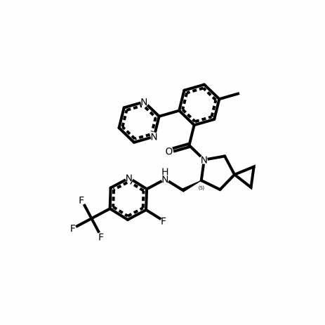 Cc1ccc(-c2ncccn2)c(C(=O)N2CC3(CC3)C[C@H]2CNc2ncc(C(F)(F)F)cc2F)c1